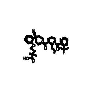 CCCC1C(C(=O)N2CCC(C#N)(c3ccccc3OCCC(C)(C)C(=O)O)CC2)CCCN1C(=O)c1ncccc1C(F)(F)F